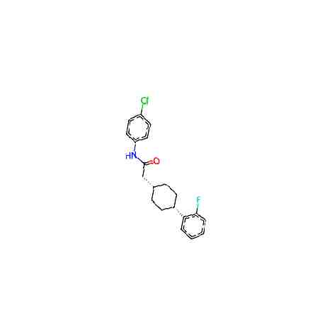 O=C(C[C@H]1CC[C@@H](c2ccccc2F)CC1)Nc1ccc(Cl)cc1